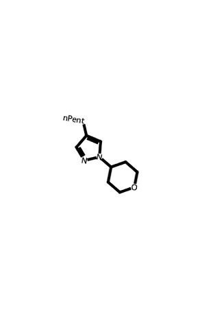 CCCCCc1cnn(C2CCOCC2)c1